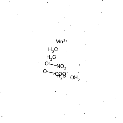 O.O.O.O.O=C([O-])[O-].O=[N+]([O-])[O-].[Mn+3]